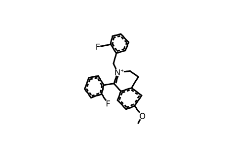 COc1ccc2c(c1)CC[N+](Cc1ccccc1F)=C2c1ccccc1F